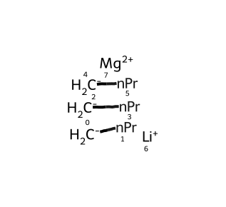 [CH2-]CCC.[CH2-]CCC.[CH2-]CCC.[Li+].[Mg+2]